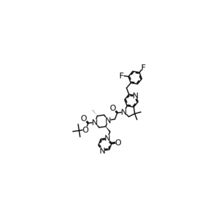 C[C@@H]1CN(CC(=O)N2CC(C)(C)c3cnc(Cc4ccc(F)cc4F)cc32)[C@@H](Cn2ccncc2=O)CN1C(=O)OC(C)(C)C